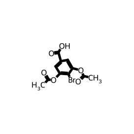 CC(=O)Oc1cc(C(=O)O)cc(OC(C)=O)c1Br